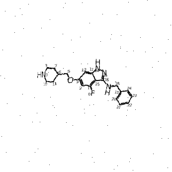 Fc1cc(OCC2CCNCC2)cc2[nH]nc(NCc3ccccc3)c12